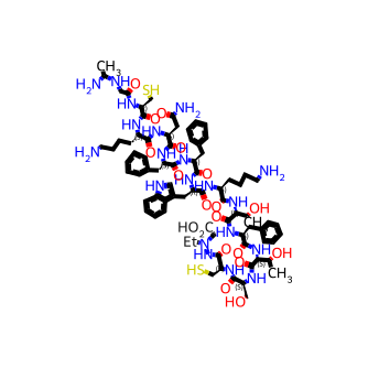 CCN(CC(=O)O)NC(=O)[C@H](CS)NC(=O)[C@H](CO)NC(=O)[C@@H](NC(=O)[C@H](Cc1ccccc1)NC(=O)[C@@H](NC(=O)[C@H](CCCCN)NC(=O)[C@@H](Cc1c[nH]c2ccccc12)NC(=O)[C@H](Cc1ccccc1)NC(=O)[C@H](Cc1ccccc1)NC(=O)[C@H](CC(N)=O)NC(=O)[C@H](CCCCN)NC(=O)[C@H](CS)NC(=O)CNC(C)N)C(C)O)C(C)O